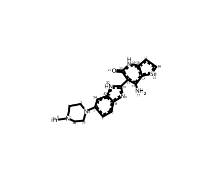 CC(C)N1CCN(c2ccc3nc(-c4c(N)c5[se]ccc5[nH]c4=O)[nH]c3c2)CC1